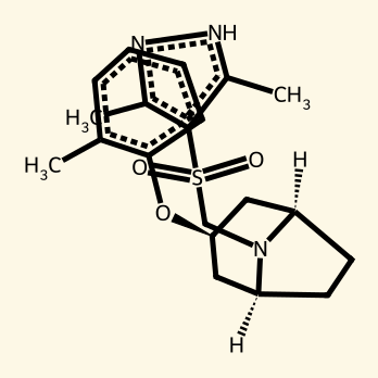 Cc1ccccc1O[C@H]1C[C@H]2CC[C@@H](C1)N2CS(=O)(=O)c1c(C)n[nH]c1C